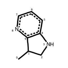 CC1CNc2cccnc21